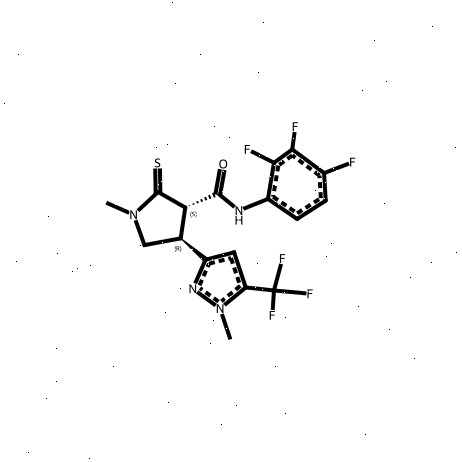 CN1C[C@H](c2cc(C(F)(F)F)n(C)n2)[C@@H](C(=O)Nc2ccc(F)c(F)c2F)C1=S